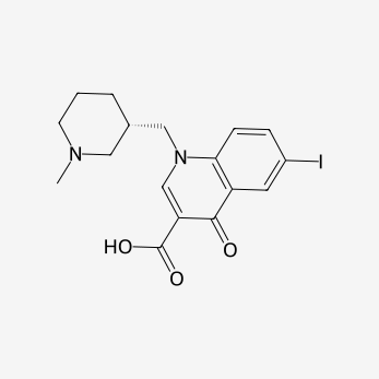 CN1CCC[C@H](Cn2cc(C(=O)O)c(=O)c3cc(I)ccc32)C1